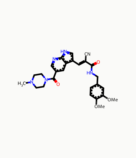 COc1ccc(CNC(=O)/C(C#N)=C/c2c[nH]c3ncc(C(=O)N4CCN(C)CC4)cc23)cc1OC